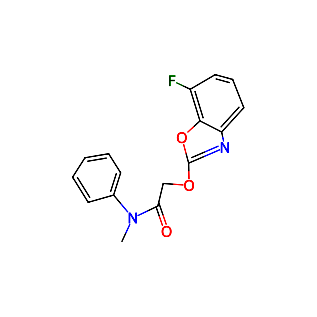 CN(C(=O)COc1nc2cccc(F)c2o1)c1ccccc1